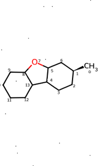 C[C@H]1CCC2C(C1)OC1CCCCC12